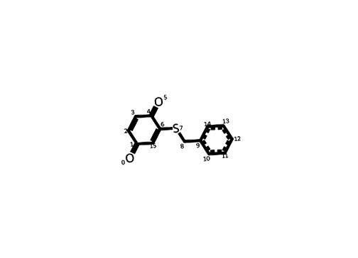 O=C1C=CC(=O)C(SCc2ccccc2)=C1